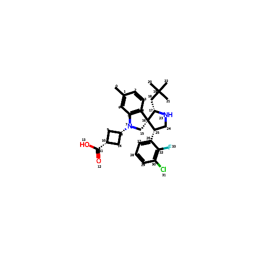 Cc1ccc2c(c1)N([C@H]1C[C@@H](C(=O)O)C1)C[C@@]21[C@H](CC(C)(C)C)NC[C@@H]1c1cccc(Cl)c1F